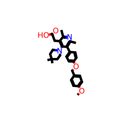 COc1ccc(COc2ccc(-c3c(C)nc(C)c(CC(=O)O)c3N3CCC(C)(C)CC3)cc2)cc1